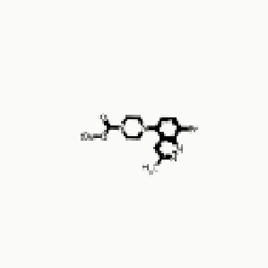 Cc1cc2c(N3CCN(C(=O)OC(C)(C)C)CC3)ccc(Br)c2nn1